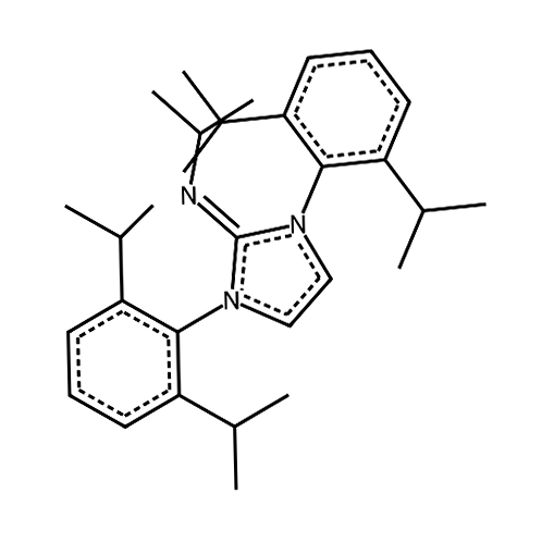 CC(C)N=c1n(-c2c(C(C)C)cccc2C(C)C)ccn1-c1c(C(C)C)cccc1C(C)C